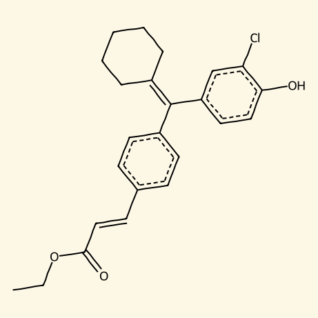 CCOC(=O)C=Cc1ccc(C(=C2CCCCC2)c2ccc(O)c(Cl)c2)cc1